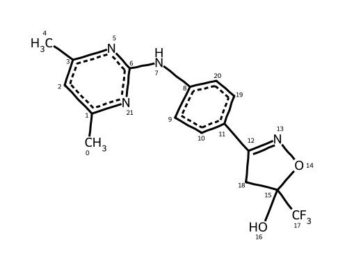 Cc1cc(C)nc(Nc2ccc(C3=NOC(O)(C(F)(F)F)C3)cc2)n1